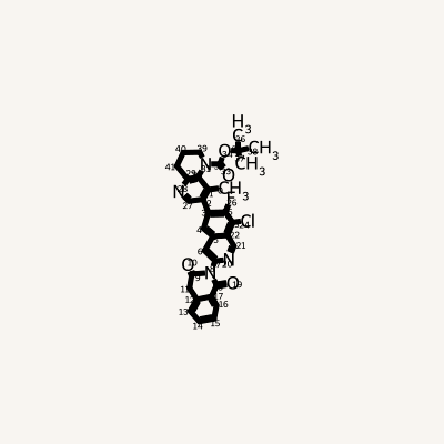 Cc1c(-c2cc3cc(N4C(=O)Cc5ccccc5C4=O)ncc3c(Cl)c2F)cnc2c1N(C(=O)OC(C)(C)C)CCC2